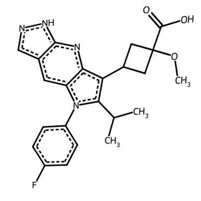 COC1(C(=O)O)CC(c2c(C(C)C)n(-c3ccc(F)cc3)c3cc4cn[nH]c4nc23)C1